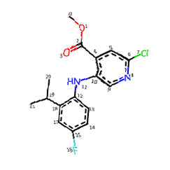 COC(=O)c1cc(Cl)ncc1Nc1ccc(F)cc1C(C)C